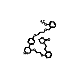 COc1ccccc1COCCCOc1ccc(C2CCNCC2OCCOc2ccccc2CCN2CCOC2=O)cc1